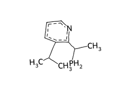 CC(C)c1cccnc1C(C)P